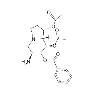 CC(=O)O[C@H]1CCN2C[C@H](N)C(OC(=O)c3ccccc3)[C@H](OC(C)=O)[C@@H]12